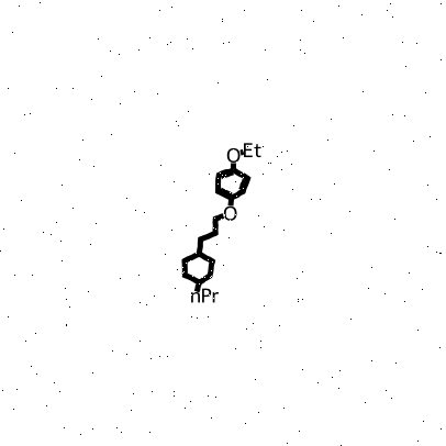 CCCC1CCC(CCCOc2ccc(OCC)cc2)CC1